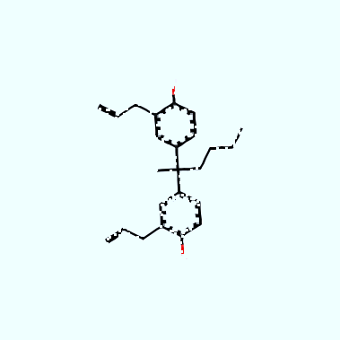 C=CCc1cc(C(C)(CCCC)c2ccc(O)c(CC=C)c2)ccc1O